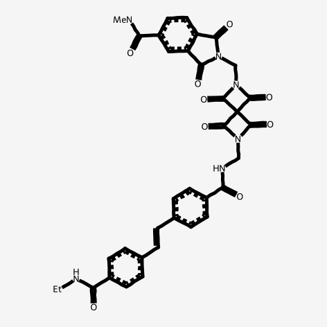 CCNC(=O)c1ccc(/C=C/c2ccc(C(=O)NCN3C(=O)C4(C3=O)C(=O)N(CN3C(=O)c5ccc(C(=O)NC)cc5C3=O)C4=O)cc2)cc1